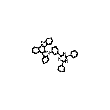 c1ccc(-c2nc(-c3ccccc3)nc(-c3cccc(-n4c5ccccc5c5c6ccccc6c6sc7ccccc7c6c54)c3)n2)cc1